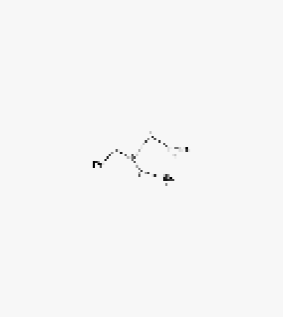 [CH2]C(C)CC(CCCCCCC)CC(C)CC